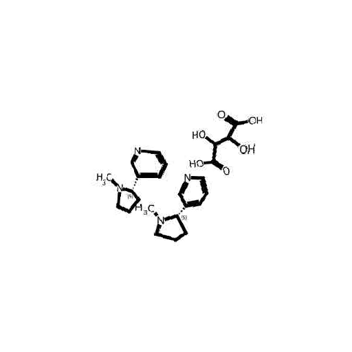 CN1CCC[C@H]1c1cccnc1.CN1CCC[C@H]1c1cccnc1.O=C(O)C(O)C(O)C(=O)O